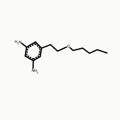 CCCCCOCCc1cc(N)cc(N)c1